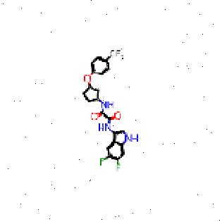 O=C(Nc1c[nH]c2cc(F)c(F)cc12)C(=O)NC1CCC(Oc2ccc(C(F)(F)F)cc2)C1